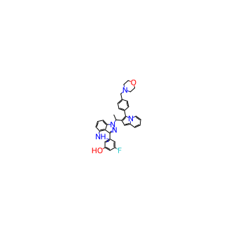 CC(c1cc2ccccn2c1-c1ccc(CN2CCOCC2)cc1)n1nc(-c2cc(O)cc(F)c2)c2c(N)cccc21